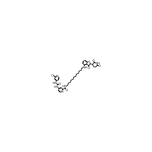 O=C1CCC(C2Sc3cccc(NCCCCCCCCCCCCNC(=O)c4cc(NC(=O)Nc5ccnc(Cl)c5)ccn4)c3C2=O)C(=O)N1